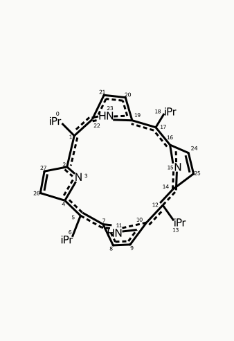 CC(C)c1c2nc(c(C(C)C)c3ccc([nH]3)c(C(C)C)c3nc(c(C(C)C)c4ccc1[nH]4)C=C3)C=C2